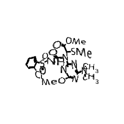 COC(=O)C(SC)N(C(=O)NS(=O)(=O)c1ccccc1Cl)c1nc(OC)nc(N(C)C)n1